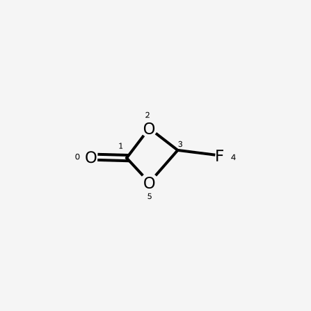 O=C1OC(F)O1